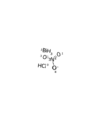 Cl.O=[N+]([O-])[O-].[BiH3]